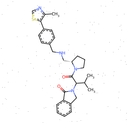 Cc1ncsc1-c1ccc(CNC[C@@H]2CCCN2C(=O)C(C(C)C)N2Cc3ccccc3C2=O)cc1